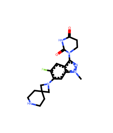 Cn1nc(N2CCC(=O)NC2=O)c2cc(F)c(N3CC4(CCNCC4)C3)cc21